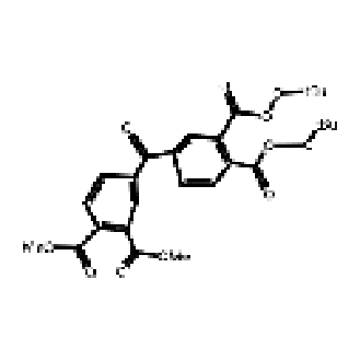 COC(=O)c1ccc(C(=O)c2ccc(C(=O)OOC(C)(C)C)c(C(=O)OOC(C)(C)C)c2)cc1C(=O)OC